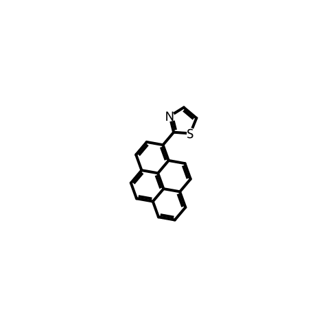 c1cc2ccc3ccc(-c4nccs4)c4ccc(c1)c2c34